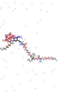 CCOCCOCCNC(=O)OCCC(C)(C)SSCOCCCCOC(=O)NCC#Cc1cn([C@H]2C[C@@H](OCSSCC)C(OP(=O)(O)OP(=O)(O)OP(=O)(O)O)O2)c(=O)nc1N